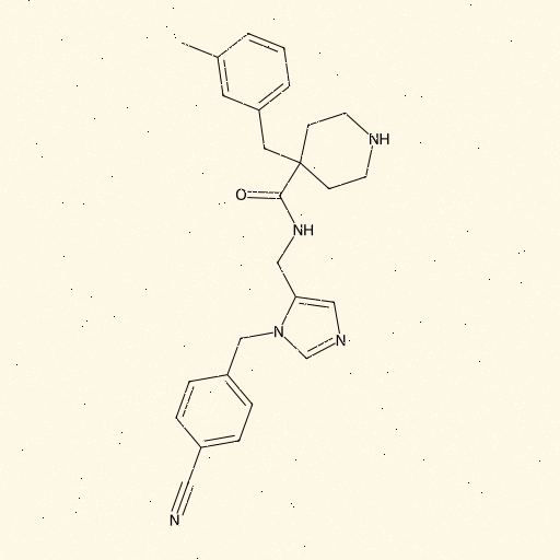 Cc1cccc(CC2(C(=O)NCc3cncn3Cc3ccc(C#N)cc3)CCNCC2)c1